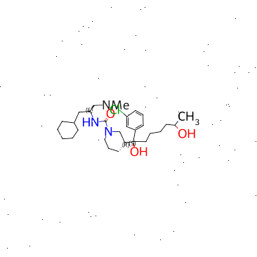 CNC[C@H](CC1CCCCC1)NC(=O)N1CCC[C@@H]([C@@](O)(CCCCC(C)O)c2cccc(Cl)c2)C1